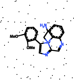 COc1cccc(C2=CN=C3C=Nc4ccccc4[N+]23CCN)c1OC